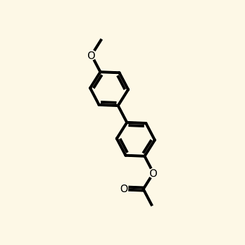 COc1ccc(-c2ccc(OC(C)=O)cc2)cc1